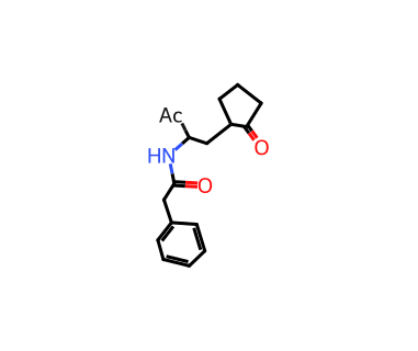 CC(=O)C(CC1CCCC1=O)NC(=O)Cc1ccccc1